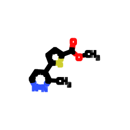 COC(=O)c1ccc(-c2ccnnc2C)s1